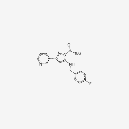 CC(C)(C)C(=O)n1nc(-c2cccnc2)cc1NCc1ccc(F)cc1